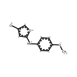 COc1ccc(Nc2cc(Cl)co2)cc1